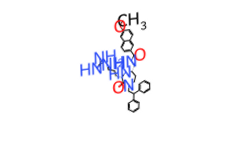 COc1ccc2cc(C(=O)NC[C@@H]3CCN(CC(c4ccccc4)c4ccccc4)C(=O)[C@H](CCCNC(=N)N)N3)ccc2c1